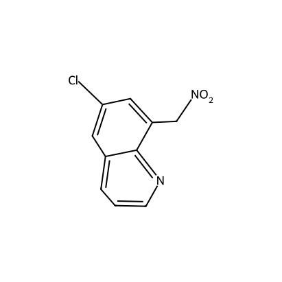 O=[N+]([O-])Cc1cc(Cl)cc2cccnc12